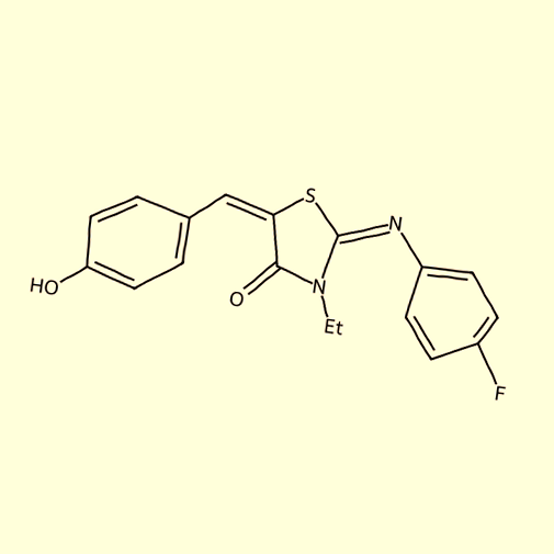 CCN1C(=O)/C(=C\c2ccc(O)cc2)S/C1=N/c1ccc(F)cc1